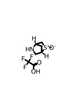 O=C(O)C(F)(F)F.[O-][S@+]1C[C@@H]2C[C@H]1CN2